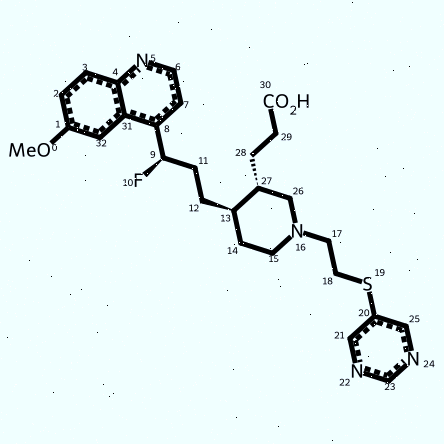 COc1ccc2nccc([C@H](F)CC[C@@H]3CCN(CCSc4cncnc4)C[C@H]3CCC(=O)O)c2c1